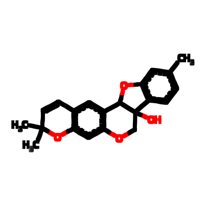 Cc1ccc2c(c1)OC1c3cc4c(cc3OCC21O)OC(C)(C)C=C4